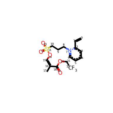 C=Cc1cccc[n+]1CCCS(=O)(=O)OC=C(C)C(=O)OCC(F)(F)F